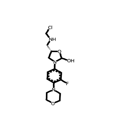 OC1O[C@@H](CNCCl)CN1c1ccc(N2CCOCC2)c(F)c1